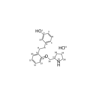 Cl.Oc1cccc(CCc2ccccc2OCC2CCCN2)c1